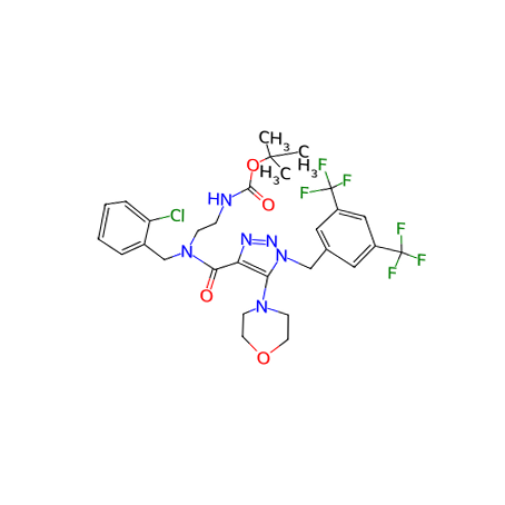 CC(C)(C)OC(=O)NCCN(Cc1ccccc1Cl)C(=O)c1nnn(Cc2cc(C(F)(F)F)cc(C(F)(F)F)c2)c1N1CCOCC1